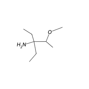 CCC(N)(CC)C(C)OC